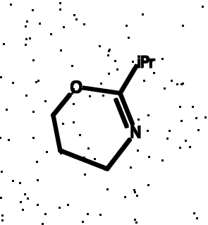 CC(C)C1=NCCCO1